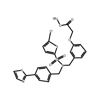 CC(C)(C)OC(=O)COc1cccc(CN(Cc2ccc(-c3nccs3)cc2)S(=O)(=O)c2ccc(Cl)s2)c1